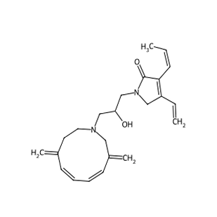 C=CC1=C(/C=C\C)C(=O)N(CC(O)CN2CCC(=C)/C=C\C=C/C(=C)C2)C1